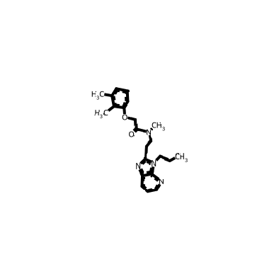 CCCn1c(CCN(C)C(=O)COc2cccc(C)c2C)nc2cccnc21